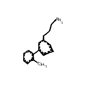 Cc1ccccc1-c1cccc(CCCN)c1